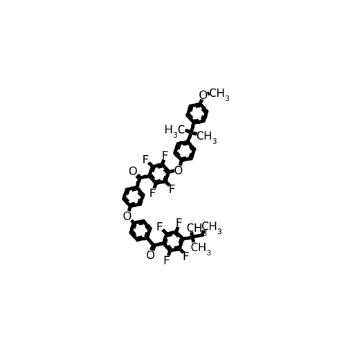 CCC(C)(C)c1c(F)c(F)c(C(=O)c2ccc(Oc3ccc(C(=O)c4c(F)c(F)c(Oc5ccc(C(C)(C)c6ccc(OC)cc6)cc5)c(F)c4F)cc3)cc2)c(F)c1F